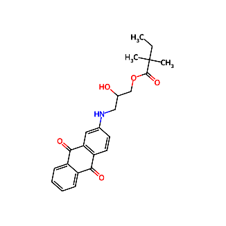 CCC(C)(C)C(=O)OCC(O)CNc1ccc2c(c1)C(=O)c1ccccc1C2=O